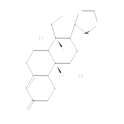 C[C@]12CCC(=O)C=C1CC[C@@H]1[C@@H]2[C@@H](O)C[C@@]2(C)[C@H]1CC[C@@]21OCOC12COCO2